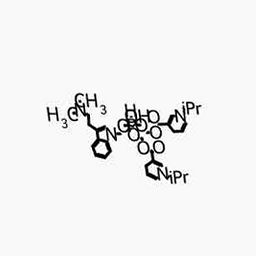 CC(C)N1C=CCC(C(=O)OCO[PH](O)(OCOC(=O)C2=CN(C(C)C)C=CC2)OCn2cc(CCN(C)C)c3ccccc32)=C1